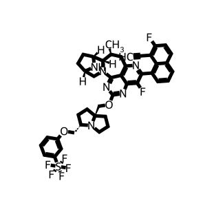 C#Cc1c(F)ccc2cccc(-c3nc4c5c(nc(OC[C@@]67CCCN6[C@H](COc6cccc(S(F)(F)(F)(F)F)c6)CC7)nc5c3F)N3C[C@@H]5CC[C@@H](N5)[C@@H]3[C@@H](C)C4)c12